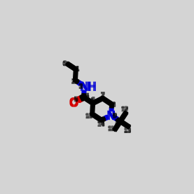 CCCNC(=O)C1CCN(C(C)(C)C)CC1